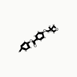 Cc1ccc(OC(=O)c2ccc(OCC3(C)COC3)cc2)cc1